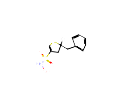 O=S(=O)(NO)C1=CSC(Cc2ccccc2)(C(F)(F)F)C1